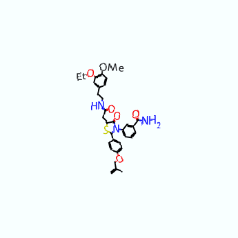 C=C(C)COc1ccc(C2SC(CC(=O)NCCc3ccc(OC)c(OCC)c3)C(=O)N2c2cccc(C(N)=O)c2)cc1